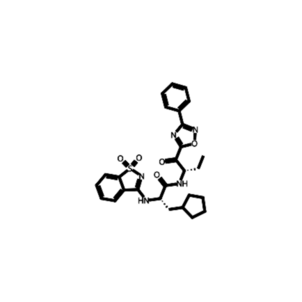 CC[C@H](NC(=O)[C@H](CC1CCCC1)NC1=NS(=O)(=O)c2ccccc21)C(=O)c1nc(-c2ccccc2)no1